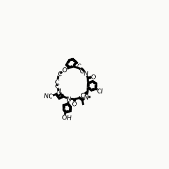 Cc1c2cc(n1C)-c1cc(Cl)ccc1C(=O)N1CCc3c(cccc3OCCCCn3c(C#N)cc(c3C)N(c3ccc(O)cc3)C2=O)C1